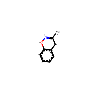 N#CC1=NOc2ccccc2C1